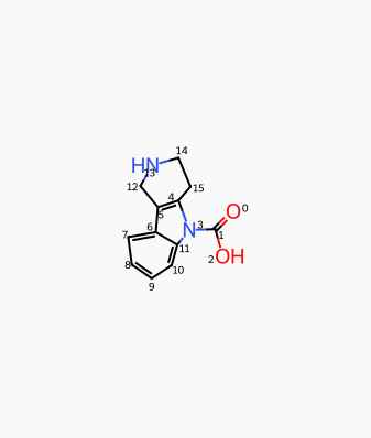 O=C(O)n1c2c(c3ccccc31)CNCC2